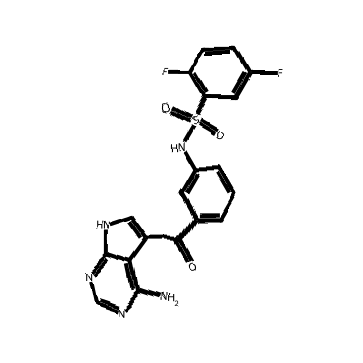 Nc1ncnc2[nH]cc(C(=O)c3cccc(NS(=O)(=O)c4cc(F)ccc4F)c3)c12